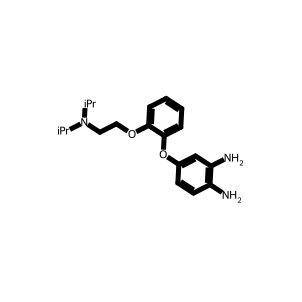 CC(C)N(CCOc1ccccc1Oc1ccc(N)c(N)c1)C(C)C